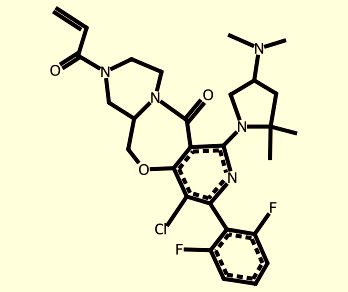 C=CC(=O)N1CCN2C(=O)c3c(N4CC(N(C)C)CC4(C)C)nc(-c4c(F)cccc4F)c(Cl)c3OCC2C1